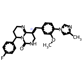 COc1cc(/C=C2\CNC(=O)N3C2=NCCC3c2ccc(F)cc2)ccc1-n1cnc(C)c1